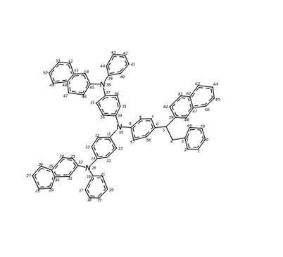 c1ccc(CC(c2ccc(N(c3ccc(N(c4ccccc4)c4ccc5ccccc5c4)cc3)c3ccc(N(c4ccccc4)c4ccc5ccccc5c4)cc3)cc2)c2ccc3ccccc3c2)cc1